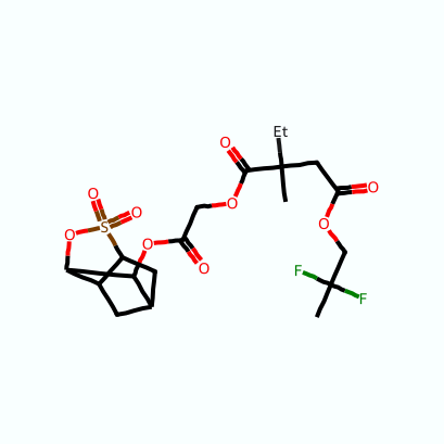 CCC(C)(CC(=O)OCC(C)(F)F)C(=O)OCC(=O)OC1C2CC3C1OS(=O)(=O)C3C2